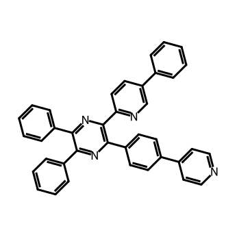 c1ccc(-c2ccc(-c3nc(-c4ccccc4)c(-c4ccccc4)nc3-c3ccc(-c4ccncc4)cc3)nc2)cc1